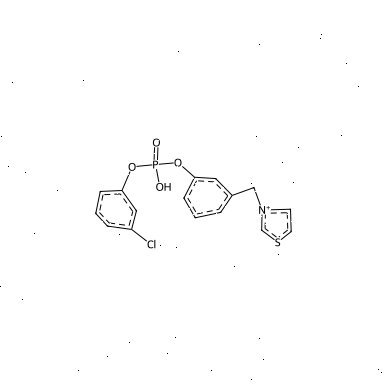 O=P(O)(Oc1cccc(Cl)c1)Oc1cccc(C[n+]2ccsc2)c1